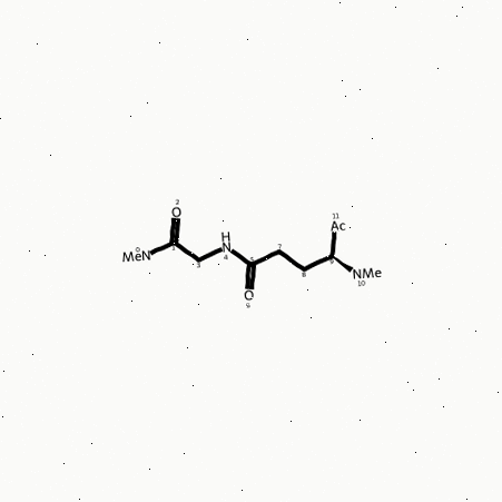 CNC(=O)CNC(=O)CC[C@H](NC)C(C)=O